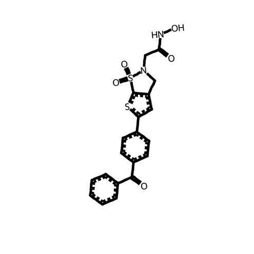 O=C(CN1Cc2cc(-c3ccc(C(=O)c4ccccc4)cc3)sc2S1(=O)=O)NO